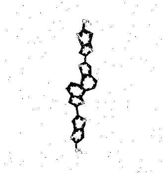 Cc1cc2sc(-c3cc4ccc5c(ccc6cc(-c7cc8sc(C)cc8s7)sc65)c4s3)cc2s1